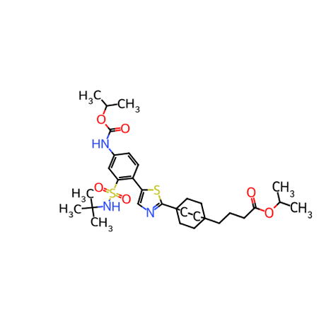 CC(C)OC(=O)CCCC12CCC(c3ncc(-c4ccc(NC(=O)OC(C)C)cc4S(=O)(=O)NC(C)(C)C)s3)(CC1)CC2